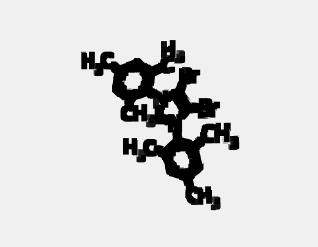 Cc1cc(C)c(N2[C]N(c3c(C)cc(C)cc3C)C(Br)=C2Br)c(C)c1